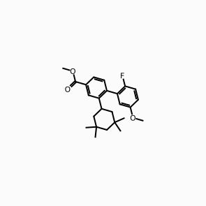 COC(=O)c1ccc(-c2cc(OC)ccc2F)c(C2CC(C)(C)CC(C)(C)C2)c1